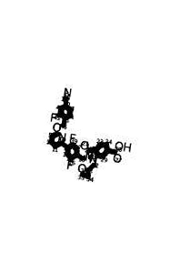 N#Cc1ccc(COc2cccc(-c3cc(F)c(Cn4c(=O)c5ccc(C(=O)O)cc5n4CC4CCO4)cc3F)n2)c(F)c1